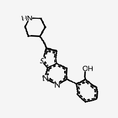 Oc1ccccc1-c1cc2cc(C3CCNCC3)sc2nn1